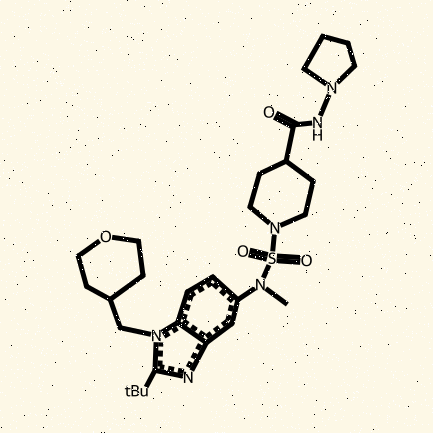 CN(c1ccc2c(c1)nc(C(C)(C)C)n2CC1CCOCC1)S(=O)(=O)N1CCC(C(=O)NN2CCCC2)CC1